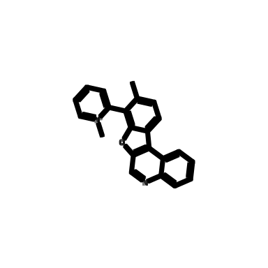 Cc1ccc2c(oc3cnc4ccccc4c32)c1-c1cccc[n+]1C